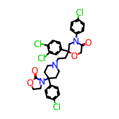 O=C1COC(CCN2CCC(c3ccc(Cl)cc3)(N3CCOC3=O)CC2)(c2ccc(Cl)c(Cl)c2)CN1c1ccc(Cl)cc1